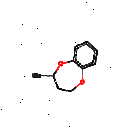 CC(C)(C)C1CCOc2ccccc2O1